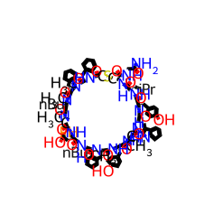 CCCC[C@@H]1NC(=O)[C@H](CC(O)=P)NC(=O)CN(C)C(=O)[C@H](CCCC)N(C)C(=O)[C@H](Cc2ccccc2)N(C)C(=O)[C@H](Cc2ccccc2)NC(=O)CSC[C@@H](C(=O)NCC(N)=O)NC(=O)[C@H](CC(C)C)NC(=O)[C@H](Cc2ccc(O)cc2)NC(=O)[C@H](Cc2c[nH]c3ccccc23)NC(=O)CN(C)C(=O)[C@H](Cc2ccc(O)cc2)NC(=O)[C@H](Cc2ccccc2)N(C)C1=O